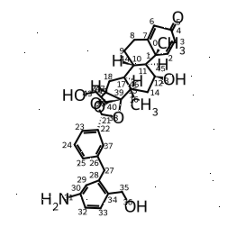 C[C@]12C=CC(=O)C=C1CC[C@@H]1[C@@H]2[C@@H](O)C[C@@]2(C)[C@H]1C[C@H]1O[C@@H](c3cccc(Cc4cc(N)ccc4CO)c3)O[C@]12C(=O)CO